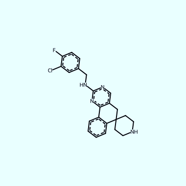 Fc1ccc(CNc2ncc3c(n2)-c2ccccc2C2(CCNCC2)C3)cc1Cl